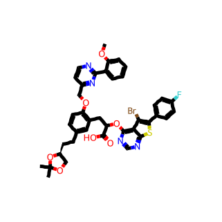 COc1ccccc1-c1nccc(COc2ccc(CC[C@H]3COC(C)(C)O3)cc2CC(Oc2ncnc3sc(-c4ccc(F)cc4)c(Br)c23)C(=O)O)n1